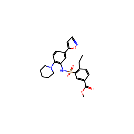 CCc1ccc(C(=O)OC)cc1S(=O)(=O)Nc1cc(-c2ccno2)ccc1N1CCCCC1